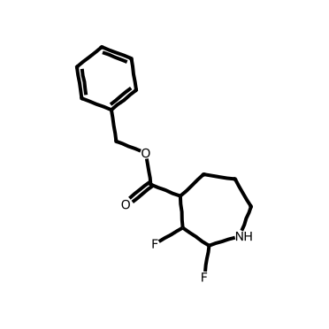 O=C(OCc1ccccc1)C1CCCNC(F)C1F